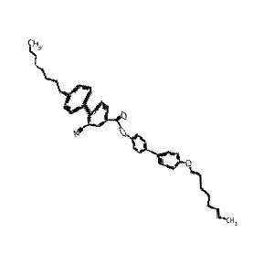 CCCCCCCCOc1ccc(-c2ccc(OC(=O)c3ccc(-c4ccc(CCCCCCCC)cc4)c(C#N)c3)cc2)cc1